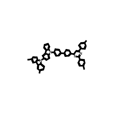 Cc1ccc(-c2cc(-c3ccc(-c4ccc(-n5c6ccccc6c6cc(-n7c8ccc(C)cc8c8cc(C)ccc87)ccc65)cc4)cc3)nc(-c3ccc(C)cc3)n2)cc1